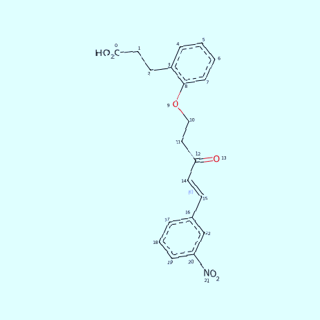 O=C(O)CCc1ccccc1OCCC(=O)/C=C/c1cccc([N+](=O)[O-])c1